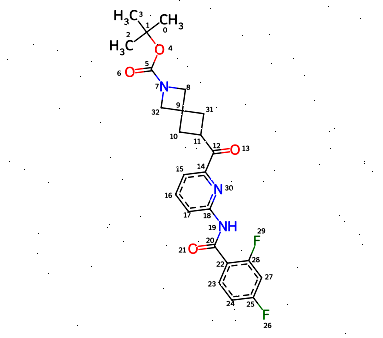 CC(C)(C)OC(=O)N1CC2(CC(C(=O)c3cccc(NC(=O)c4ccc(F)cc4F)n3)C2)C1